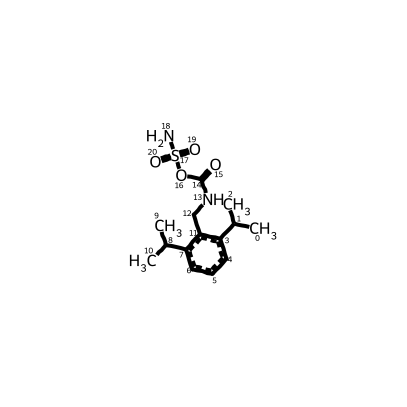 CC(C)c1cccc(C(C)C)c1CNC(=O)OS(N)(=O)=O